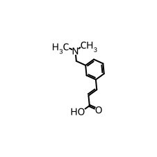 CN(C)Cc1cccc(C=CC(=O)O)c1